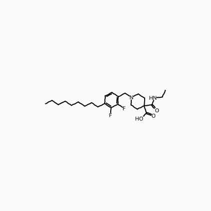 CCCCCCCCCc1ccc(CN2CCC(C(=O)O)(C(=O)NCC)CC2)c(F)c1F